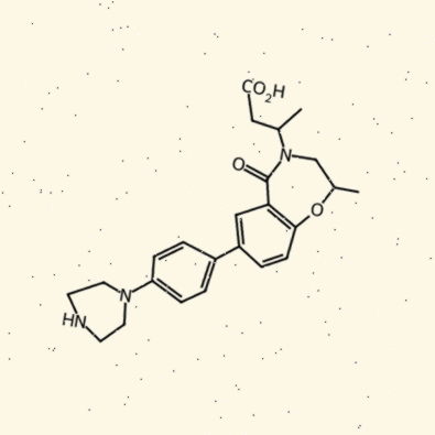 CC1CN(C(C)CC(=O)O)C(=O)c2cc(-c3ccc(N4CCNCC4)cc3)ccc2O1